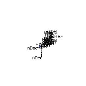 CCCCCCCCCCCCC/C=C/[C@@H](O)[C@H](CO[C@@H]1OC(CO)[C@@H](O[C@@H]2OC(CO)[C@H](O[C@@H]3OC(CO)[C@H](O[C@@H]4OC(CO)[C@H](O)[C@H](O[C@@H]5OC(CO)[C@H](O)[C@H](O)C5O)C4NC(C)=O)[C@H](O)C3O)[C@H](O)C2O)[C@H](O)C1O)NC(=O)CCCCCCCCCCCCCCCCCCCCC